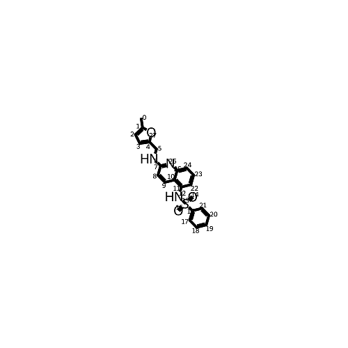 Cc1ccc(CNc2ccc3c(NS(=O)(=O)c4ccccc4)cccc3n2)o1